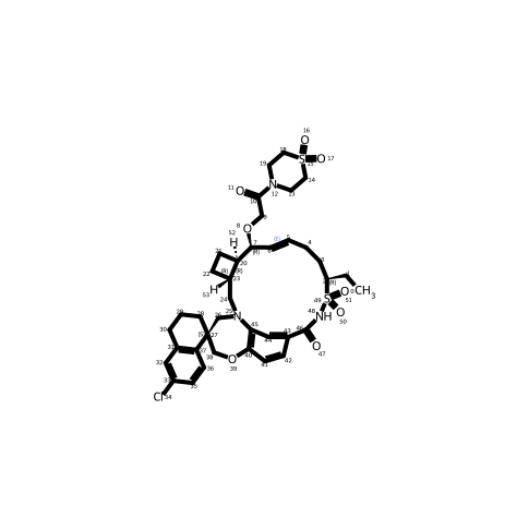 CC[C@@H]1CC/C=C/[C@H](OCC(=O)N2CCS(=O)(=O)CC2)[C@@H]2CC[C@H]2CN2C[C@@]3(CCCc4cc(Cl)ccc43)COc3ccc(cc32)C(=O)NS1(=O)=O